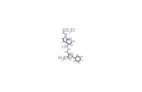 CCOC(=O)CCn1ccc2c(NCCc3nc(-c4ccccc4)oc3C)ccnc21